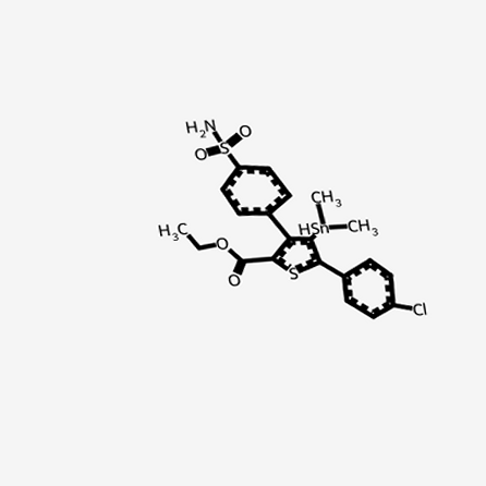 CCOC(=O)c1sc(-c2ccc(Cl)cc2)[c]([SnH]([CH3])[CH3])c1-c1ccc(S(N)(=O)=O)cc1